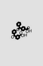 O=C(O)c1ccc(C(=O)c2ccccc2)cc1.O=C(O)c1cccc(C(=O)c2ccccc2)c1